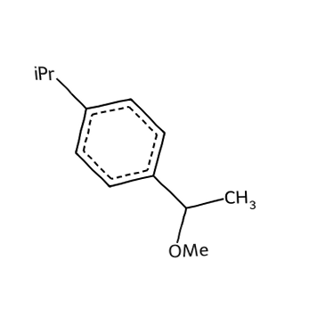 COC(C)c1ccc(C(C)C)cc1